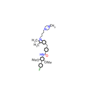 COc1cc(NC(=O)c2ccc(Cc3ccc4c(c3)c(C)c(C)n4CCCCCN3CCN(C)CC3)cc2)cc(OC)c1-c1ccc(F)cc1